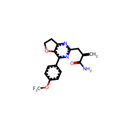 C=C(Cc1nc2c(c(-c3ccc(OC(F)(F)F)cc3)n1)OCC2)C(N)=O